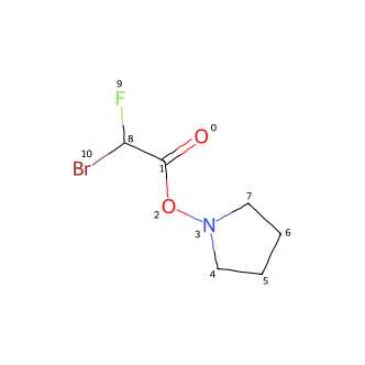 O=C(ON1CCCC1)C(F)Br